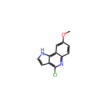 COc1ccc2nc(Cl)c3cc[nH]c3c2c1